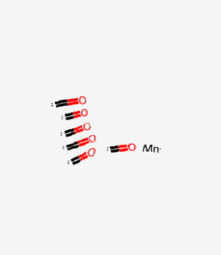 [C]=O.[C]=O.[C]=O.[C]=O.[C]=O.[C]=O.[Mn]